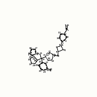 N#Cc1ccc(N2CC(CN3CCC(C(Cn4ccnc4)(c4cccc(F)c4)C4CCCC4)CC3)C2)cc1